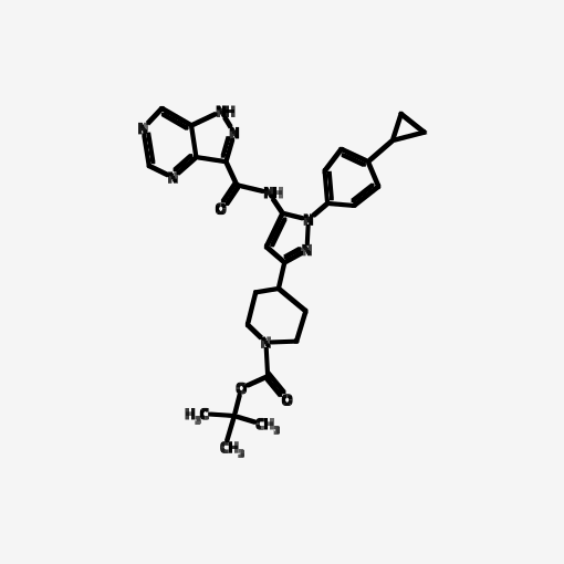 CC(C)(C)OC(=O)N1CCC(c2cc(NC(=O)c3n[nH]c4cncnc34)n(-c3ccc(C4CC4)cc3)n2)CC1